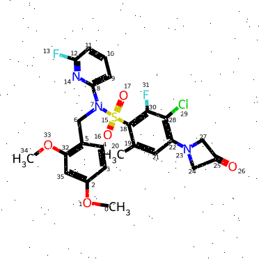 COc1ccc(CN(c2cccc(F)n2)S(=O)(=O)c2c(C)cc(N3CC(=O)C3)c(Cl)c2F)c(OC)c1